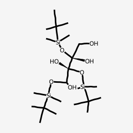 CC(C)(C)[Si](C)(C)OC(O)[C@@](O)(O[Si](C)(C)C(C)(C)C)[C@@](O)(CO)O[Si](C)(C)C(C)(C)C